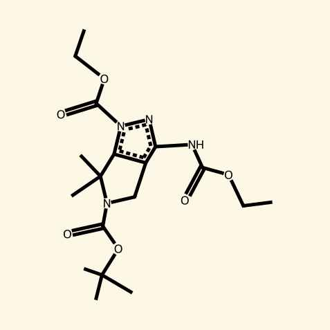 CCOC(=O)Nc1nn(C(=O)OCC)c2c1CN(C(=O)OC(C)(C)C)C2(C)C